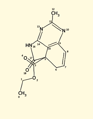 CCOC(=O)C12CC=Cc3nc(C)nc(c31)NC2=O